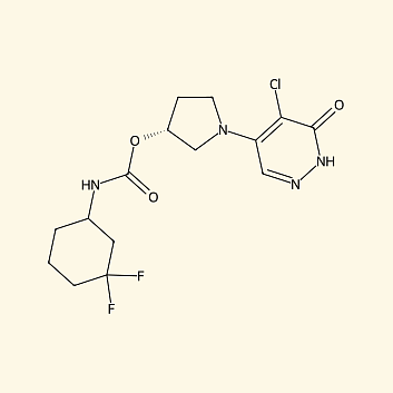 O=C(NC1CCCC(F)(F)C1)O[C@@H]1CCN(c2cn[nH]c(=O)c2Cl)C1